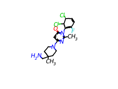 Cc1nc(N2CCC(C)(CN)CC2)cc(=O)n1C1=C(F)C=C[C@H](Cl)C1Cl